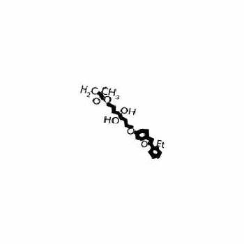 C=C(C)C(=O)OCCCC(O)C(O)CCCOc1ccc2cc(-c3ccccc3CC)oc2c1